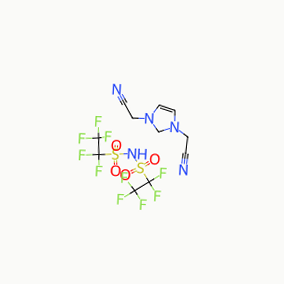 N#CCN1C=CN(CC#N)C1.O=S(=O)(NS(=O)(=O)C(F)(F)C(F)(F)F)C(F)(F)C(F)(F)F